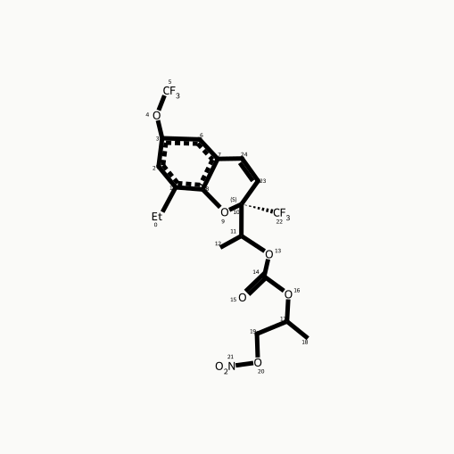 CCc1cc(OC(F)(F)F)cc2c1O[C@@](C(C)OC(=O)OC(C)CO[N+](=O)[O-])(C(F)(F)F)C=C2